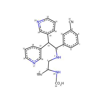 CC(C)(C)C(CNC(c1cccc(C#N)c1)C(c1cccnc1)c1cccnc1)NC(=O)O